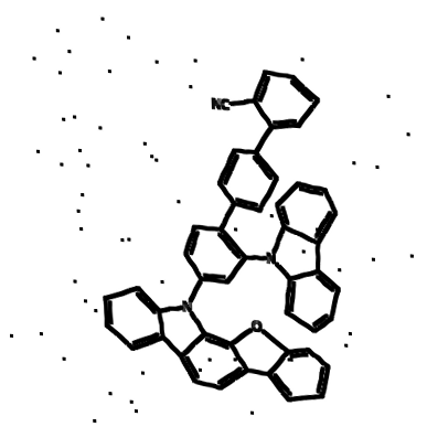 N#Cc1ccccc1-c1ccc(-c2ccc(-n3c4ccccc4c4ccc5c6ccccc6oc5c43)cc2-n2c3ccccc3c3ccccc32)cc1